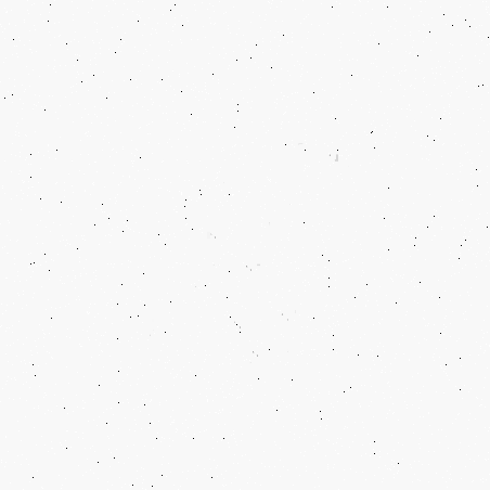 CC(C)c1cc(Nc2ccc(C(N)=O)cc2)nc2ncnn12